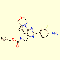 CCOC(=O)N1Cc2nc(-c3ccc(N)c(F)c3)nc(N3CCOC[C@@H]3C)c2C1